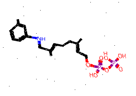 CC(=CCOP(=O)(O)OP(=O)(O)O)CCC=C(C)CNc1cccc(C)c1